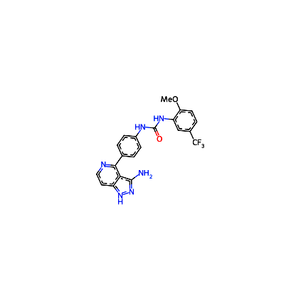 COc1ccc(C(F)(F)F)cc1NC(=O)Nc1ccc(-c2nccc3[nH]nc(N)c23)cc1